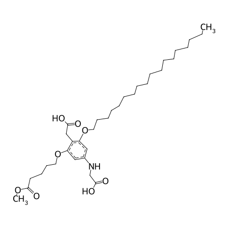 CCCCCCCCCCCCCCCCCCOc1cc(NCC(=O)O)cc(OCCCCC(=O)OC)c1CC(=O)O